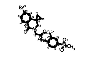 CS(=O)(=O)c1ccc(NC(=O)CN2CC3(CC3)c3cc(Br)ccc3C2=O)c(Cl)c1